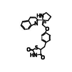 O=C1NC(=O)C(Cc2ccc(OC[C@]3(c4ccc5ccccc5n4)CCCN3)cc2)S1